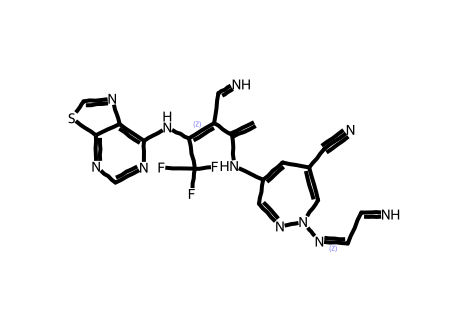 C=C(NC1=CC(C#N)=CN(/N=C\C=N)N=C1)/C(C=N)=C(/Nc1ncnc2scnc12)C(F)(F)F